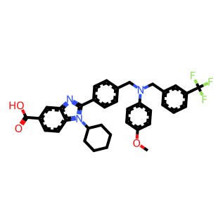 COc1ccc(N(Cc2ccc(-c3nc4cc(C(=O)O)ccc4n3C3CCCCC3)cc2)Cc2cccc(C(F)(F)F)c2)cc1